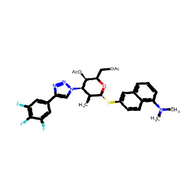 CC(=O)OCC1O[C@H](Sc2ccc3c(N(C)C)cccc3c2)C(C)[C@@H](n2cc(-c3cc(F)c(F)c(F)c3)nn2)[C@H]1OC(C)=O